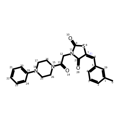 Cc1cccc(/C=C2/SC(=O)N(CC(=O)N3CCN(c4ccccc4)CC3)C2=O)c1